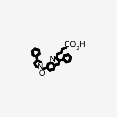 O=C(O)CCCCc1nc2cc(C(=O)N3CCC(c4ccccc4)C3)ccc2cc1-c1ccccc1